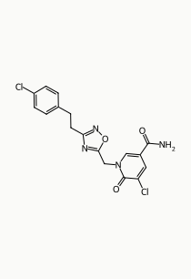 NC(=O)c1cc(Cl)c(=O)n(Cc2nc(CCc3ccc(Cl)cc3)no2)c1